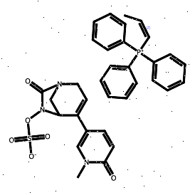 C/C=C\[P+](c1ccccc1)(c1ccccc1)c1ccccc1.Cn1cc(C2=CCN3CC2N(OS(=O)(=O)[O-])C3=O)ccc1=O